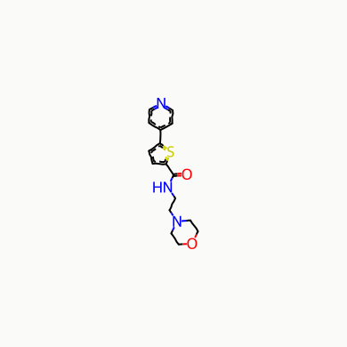 O=C(NCCN1CCOCC1)c1ccc(-c2ccncc2)s1